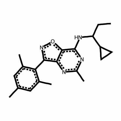 CCC(Nc1nc(C)nc2c(-c3c(C)cc(C)cc3C)noc12)C1CC1